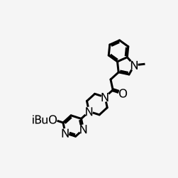 CC(C)COc1cc(N2CCN(C(=O)Cc3cn(C)c4ccccc34)CC2)ncn1